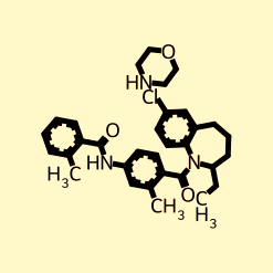 C1COCCN1.CCC1CCCc2cc(Cl)ccc2N1C(=O)c1ccc(NC(=O)c2ccccc2C)cc1C